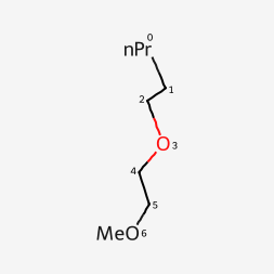 CCCCCOCCOC